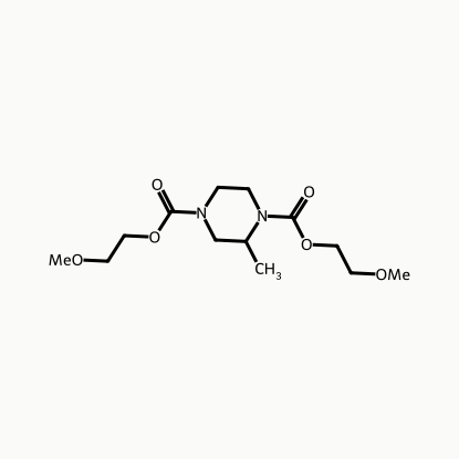 COCCOC(=O)N1CCN(C(=O)OCCOC)C(C)C1